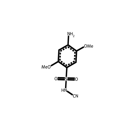 COc1cc(S(=O)(=O)NC#N)c(OC)cc1N